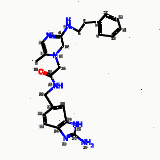 CC1=CN=C(NCCc2ccccc2)CN1CC(=O)NCc1ccc2nc(N)[nH]c2c1